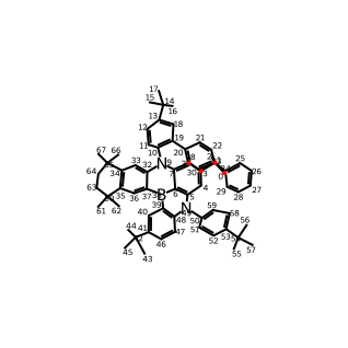 CC(C)c1cc2c3c(c1)N(c1ccc(C(C)(C)C)cc1-c1ccc(-c4ccccc4)cc1)c1cc4c(cc1B3c1cc(C(C)(C)C)ccc1N2c1ccc(C(C)(C)C)cc1)C(C)(C)CCC4(C)C